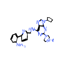 Nc1ccccc1-c1ccc(CNc2nc(N3CCNCC3)nc3c2ncn3C2CCCC2)cn1